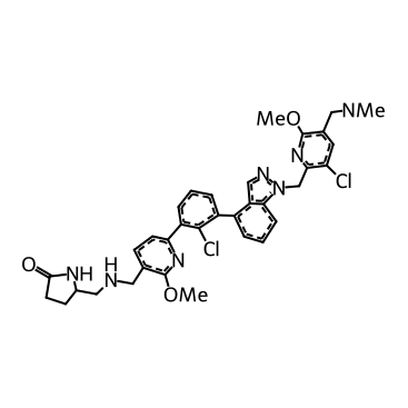 CNCc1cc(Cl)c(Cn2ncc3c(-c4cccc(-c5ccc(CNCC6CCC(=O)N6)c(OC)n5)c4Cl)cccc32)nc1OC